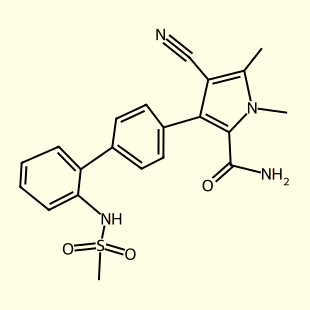 Cc1c(C#N)c(-c2ccc(-c3ccccc3NS(C)(=O)=O)cc2)c(C(N)=O)n1C